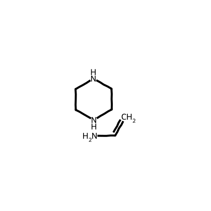 C1CNCCN1.C=CN